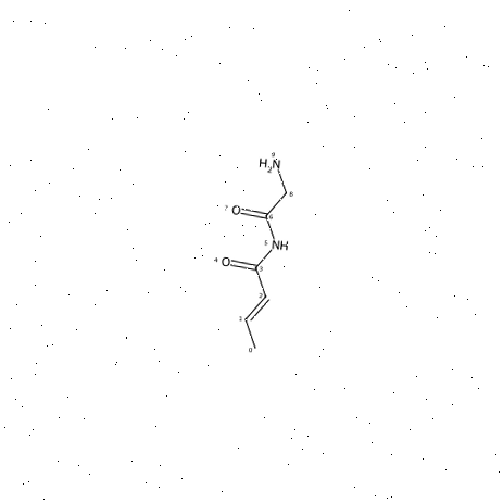 CC=CC(=O)NC(=O)CN